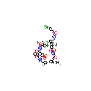 Cc1ccccc1C=CC(=O)N1CCN(S(=O)(=O)c2ccc(C(C)(C)C)cc2)CC1.O=C(/C=C(/C(=C\c1ccc2c(c1)OCO2)C(=O)N1CCN(C(=O)c2ccc(F)cc2C(F)(F)F)CC1)c1ccccc1)N1CCN(Cc2ccccc2F)CC1.O=C(C=Cc1ccc(Br)cc1)N1CCN(Cc2ccc(Cl)cc2)CC1